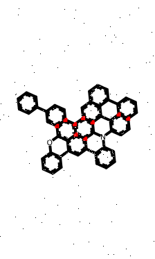 c1ccc(-c2ccc(-c3ccc(N(c4ccccc4-c4cc5c6c(cccc6c4)Oc4ccccc4-5)c4ccccc4-c4cccc5cccc(-c6ccccc6)c45)cc3)cc2)cc1